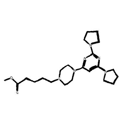 COC(=O)CCCCN1CCN(c2cc(N3CCCC3)nc(N3CCCC3)n2)CC1